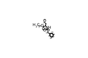 CCOC(=O)C(CC=O)NC(=O)OCc1ccccc1